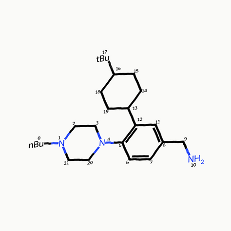 CCCCN1CCN(c2ccc(CN)cc2C2CCC(C(C)(C)C)CC2)CC1